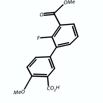 COC(=O)c1cccc(-c2ccc(OC)c(C(=O)O)c2)c1F